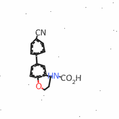 N#Cc1ccc(-c2ccc3c(c2)C(NC(=O)O)CCO3)cc1